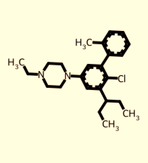 CCC(CC)c1cc(N2CCN(CC)CC2)cc(-c2ccccc2C)c1Cl